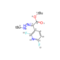 CC(C)(C)N/N=C(/C(=O)OC(C)(C)C)c1ccc(F)nc1F